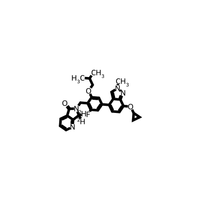 [2H]C1([2H])c2ncccc2C(=O)N1Cc1c(F)cc(-c2ccc(OC3CC3)c3nn(C)cc23)cc1OCC(C)C